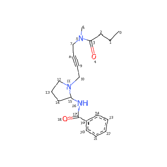 CCCC(=O)N(C)CC#CCN1CCCC1NC(=O)c1ccccc1